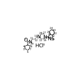 Cl.O=C1c2ccccc2CN1CCCN1CCN(c2nsc3ccccc23)CC1